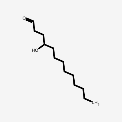 CCCCCCCCCC(O)CCC=O